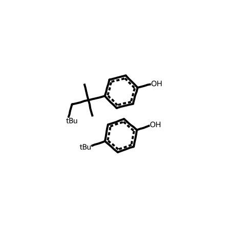 CC(C)(C)CC(C)(C)c1ccc(O)cc1.CC(C)(C)c1ccc(O)cc1